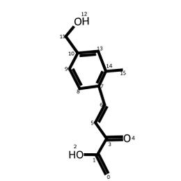 C=C(O)C(=O)/C=C/c1ccc(CO)cc1C